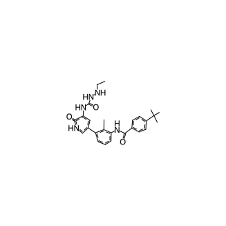 CCNNC(=O)Nc1cc(-c2cccc(NC(=O)c3ccc(C(C)(C)C)cc3)c2C)c[nH]c1=O